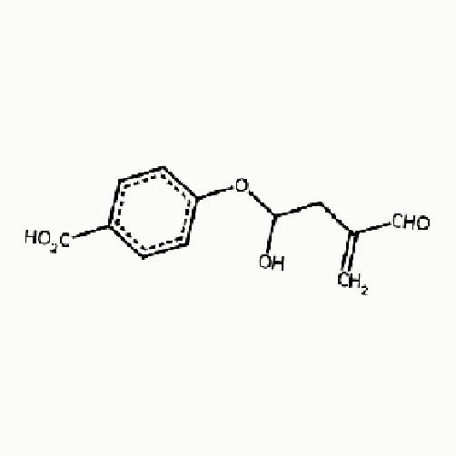 C=C(C=O)CC(O)Oc1ccc(C(=O)O)cc1